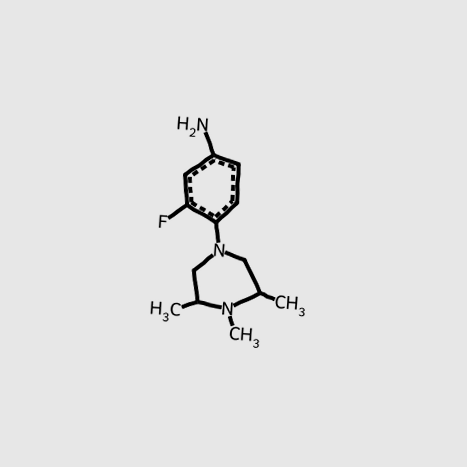 CC1CN(c2ccc(N)cc2F)CC(C)N1C